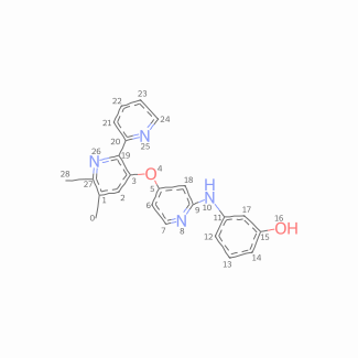 Cc1cc(Oc2ccnc(Nc3cccc(O)c3)c2)c(-c2ccccn2)nc1C